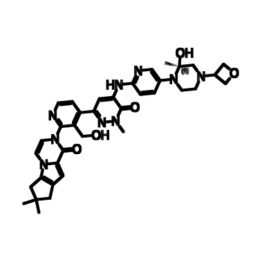 Cn1nc(-c2ccnc(-n3ccn4c5c(cc4c3=O)CC(C)(C)C5)c2CO)cc(Nc2ccc(N3CCN(C4COC4)C[C@]3(C)O)cn2)c1=O